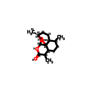 CC1CCC2C(C)C(=O)OC3O[C@]4(C)CCC1C32OO4